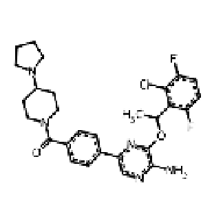 CC(Oc1nc(-c2ccc(C(=O)N3CCC(N4CCCC4)CC3)cc2)cnc1N)c1c(F)ccc(F)c1Cl